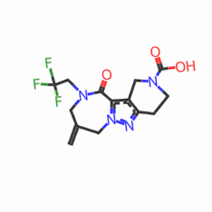 C=C1CN(CC(F)(F)F)C(=O)c2c3c(nn2C1)CCN(C(=O)O)C3